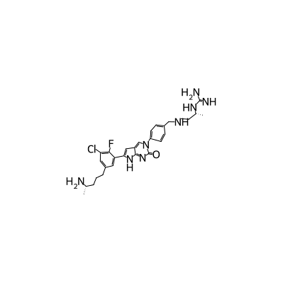 C[C@H](N)CCCc1cc(Cl)c(F)c(-c2cc3cn(-c4ccc(CNCC[C@@H](C)NC(=N)N)cc4)c(=O)nc3[nH]2)c1